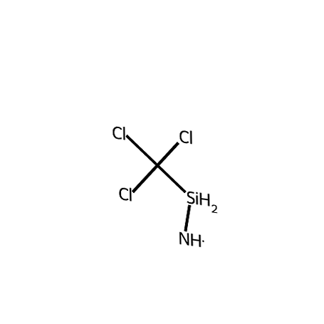 [NH][SiH2]C(Cl)(Cl)Cl